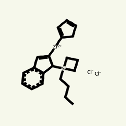 CCCC[Si]1(C2[C]([Zr+2][C]3=CC=CC3)=Cc3ccccc32)CCC1.[Cl-].[Cl-]